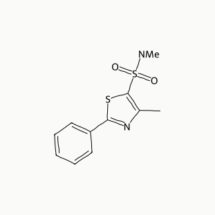 CNS(=O)(=O)c1sc(-c2ccccc2)nc1C